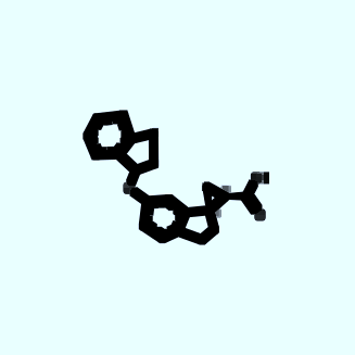 O=C(O)[C@@H]1C[C@]12CCc1ccc(OC3CCc4ccccc43)cc12